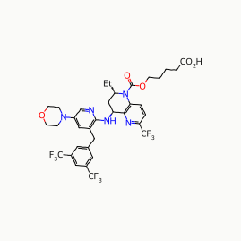 CC[C@@H]1C[C@H](Nc2ncc(N3CCOCC3)cc2Cc2cc(C(F)(F)F)cc(C(F)(F)F)c2)c2nc(C(F)(F)F)ccc2N1C(=O)OCCCCC(=O)O